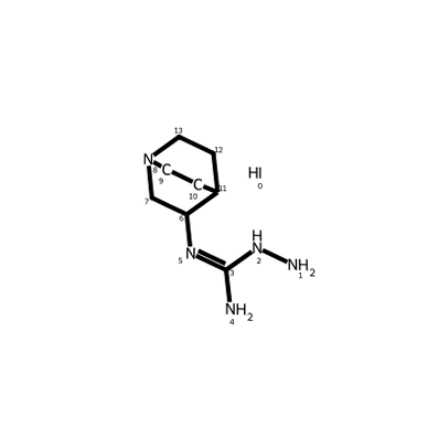 I.NNC(N)=NC1CN2CCC1CC2